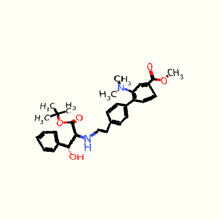 COC(=O)c1ccc(-c2ccc(CCNC(C(=O)OC(C)(C)C)[C@H](O)c3ccccc3)cc2)c(N(C)C)c1